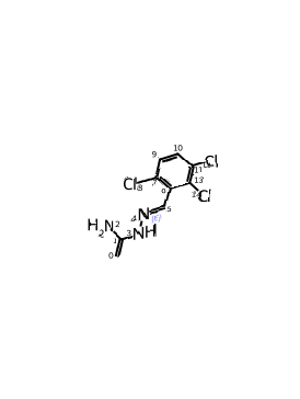 C=C(N)N/N=C/c1c(Cl)ccc(Cl)c1Cl